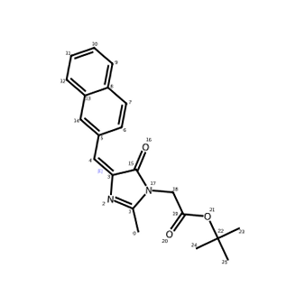 CC1=N/C(=C/c2ccc3ccccc3c2)C(=O)N1CC(=O)OC(C)(C)C